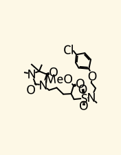 COC(=O)C(CCCN1C(=O)N(C)C(C)(C)C1=O)CS(=O)(=O)N(C)CCOc1ccc(Cl)cc1